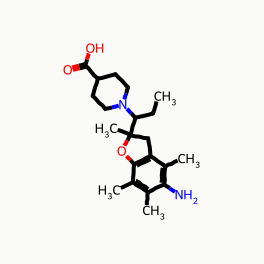 CCC(N1CCC(C(=O)O)CC1)C1(C)Cc2c(C)c(N)c(C)c(C)c2O1